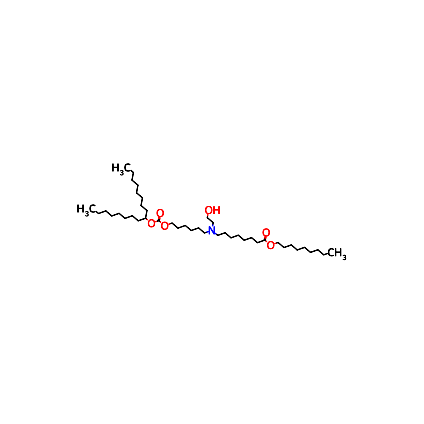 CCCCCCCCCOC(=O)CCCCCCCN(CCO)CCCCCCOC(=O)OC(CCCCCCCC)CCCCCCCC